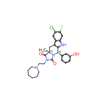 C[C@@]12Cc3c([nH]c4cc(F)c(Cl)cc34)[C@@H](c3cccc(O)c3)N1C(=O)N(CCN1CCCCCC1)C2=O